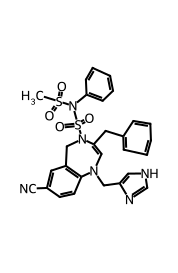 CS(=O)(=O)N(c1ccccc1)S(=O)(=O)N1Cc2cc(C#N)ccc2N(Cc2c[nH]cn2)C=C1Cc1ccccc1